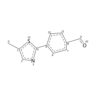 Cc1cnc(-c2ccc(C=O)cc2)s1